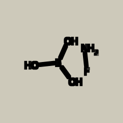 NF.OB(O)O